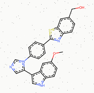 COc1ccc2[nH]cc(-c3cncn3-c3ccc(-c4nc5ccc(CO)cc5s4)cc3)c2c1